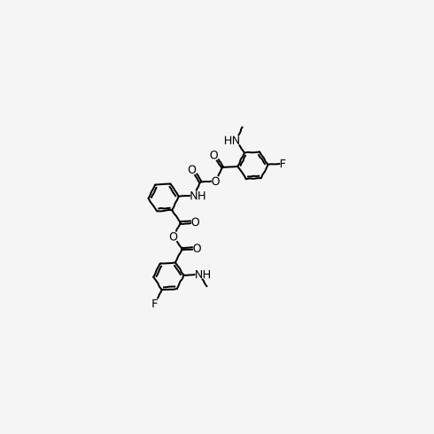 CNc1cc(F)ccc1C(=O)OC(=O)Nc1ccccc1C(=O)OC(=O)c1ccc(F)cc1NC